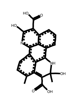 Cc1ccc2c3c(c4cccc5c(C(=O)O)c(O)nc2c54)NC(C)(O)C(C(=O)O)=c13